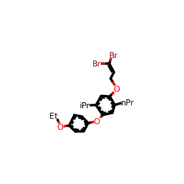 CCCc1cc(Oc2ccc(OCC)cc2)c(C(C)C)cc1OCC=C(Br)Br